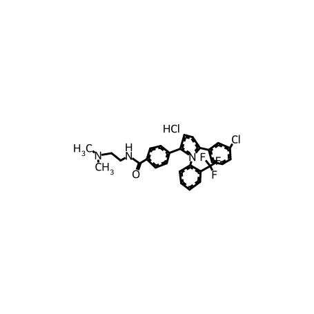 CN(C)CCNC(=O)c1ccc(-c2ccc(-c3cccc(Cl)c3)n2-c2ccccc2C(F)(F)F)cc1.Cl